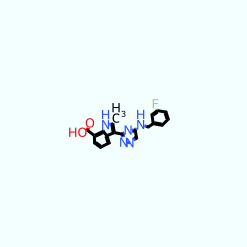 Cc1[nH]c2c(C(=O)O)cccc2c1-c1nncc(NCc2cccc(F)c2)n1